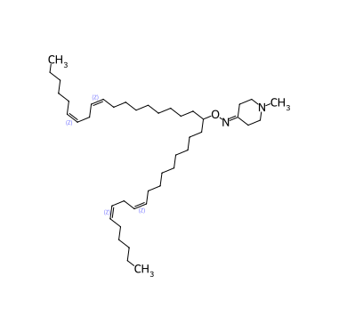 CCCCC/C=C\C/C=C\CCCCCCCCC(CCCCCCCC/C=C\C/C=C\CCCCC)ON=C1CCN(C)CC1